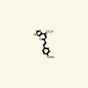 COc1ccc(C=CC(=O)C=C(C(=O)O)c2c[nH]cn2)cc1